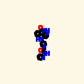 O=C(CN1CCC(Nc2ccnc3[nH]c(=O)c4ccccc4c23)CC1)Nc1ccccn1